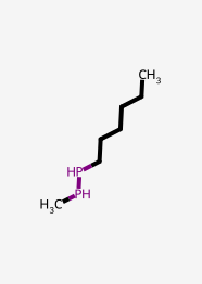 CCCCCCPPC